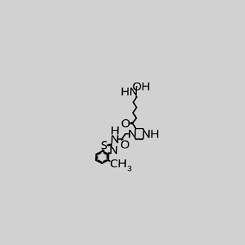 Cc1cccc2sc(NC(=O)CN3CCNCC3C(=O)CCCCCNO)nc12